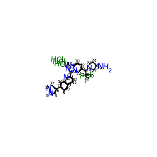 Cl.Cl.Cl.Cn1cc(-c2ccc3ccc(-c4nnc5ccc(C(N6CC[C@H](N)C6)C(F)(F)F)cn45)nc3c2)cn1